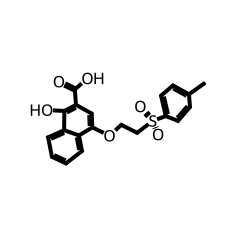 Cc1ccc(S(=O)(=O)CCOc2cc(C(=O)O)c(O)c3ccccc23)cc1